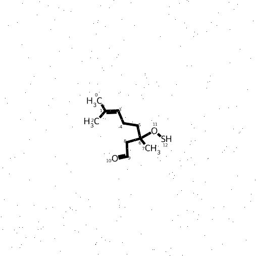 CC(C)=CCCC(C)(CC=O)OS